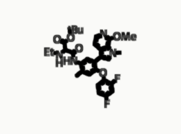 CCNC(C(=O)Nc1cc(-c2cn(C)c3c(OC)nccc23)c(Oc2ccc(F)cc2F)cc1C)C(=O)OC(C)(C)C